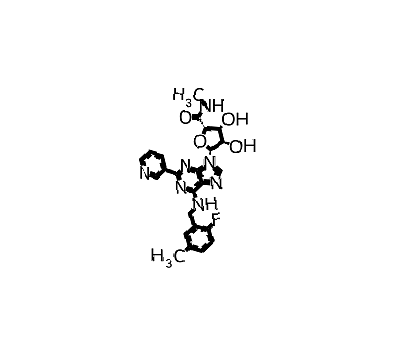 CNC(=O)[C@H]1O[C@@H](n2cnc3c(NCc4cc(C)ccc4F)nc(-c4cccnc4)nc32)[C@H](O)[C@@H]1O